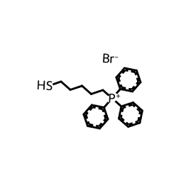 SCCCCC[P+](c1ccccc1)(c1ccccc1)c1ccccc1.[Br-]